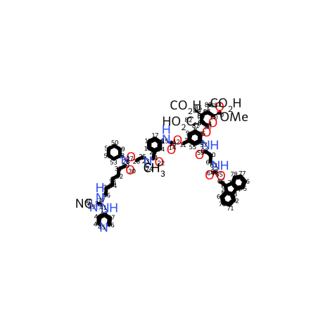 COC(=O)[C@H]1O[C@@H](Oc2ccc(COC(=O)Nc3cccc(C(=O)N(C)CCON(C(=O)CCCCCCN/C(=N\C#N)Nc4ccncc4)C4CCCCC4)c3)cc2NC(=O)CCNC(=O)OCC2c3ccccc3-c3ccccc32)[C@H](CC(=O)O)[C@@H](CC(=O)O)[C@@H]1CC(=O)O